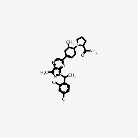 Cc1nn(C(C)c2ccc(Cl)cc2Cl)c2nc(C3=CCC(N4CCCC4C(N)=O)[C@H](C)C3)cnc12